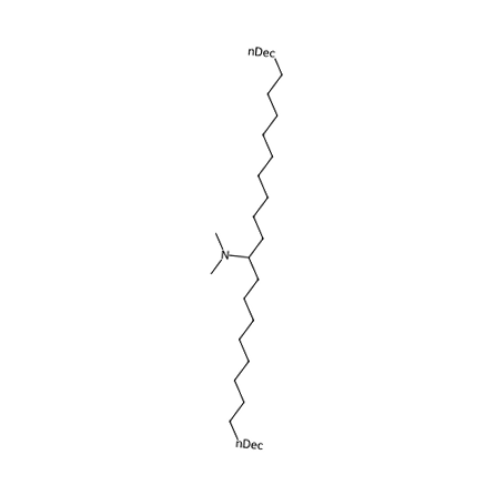 CCCCCCCCCCCCCCCCCCCC(CCCCCCCCCCCCCCCCCC)N(C)C